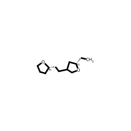 CC[C@H]1CC(CC[C@@H]2CCCO2)CO1